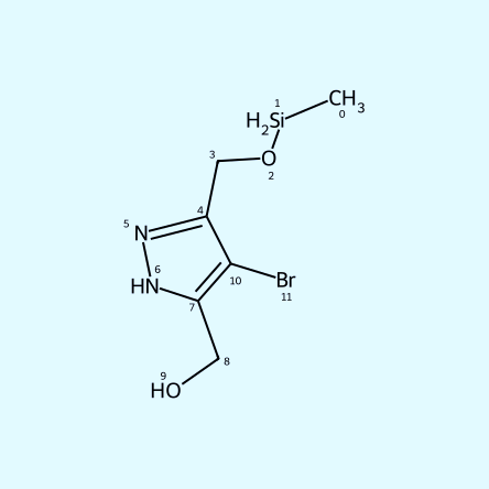 C[SiH2]OCc1n[nH]c(CO)c1Br